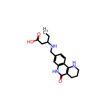 CCC(CC(=O)O)NCc1ccc2c3c(c(=O)[nH]c2c1)CCCN3